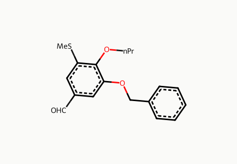 CCCOc1c(OCc2ccccc2)cc(C=O)cc1SC